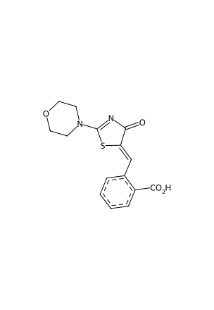 O=C1N=C(N2CCOCC2)SC1=Cc1ccccc1C(=O)O